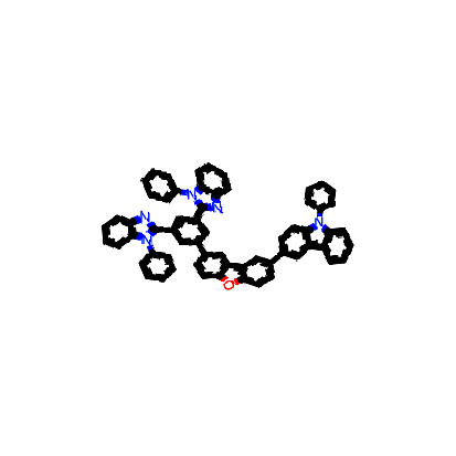 c1ccc(-n2c(-c3cc(-c4ccc5oc6ccc(-c7ccc8c(c7)c7ccccc7n8-c7ccccc7)cc6c5c4)cc(-c4nc5ccccc5n4-c4ccccc4)c3)nc3ccccc32)cc1